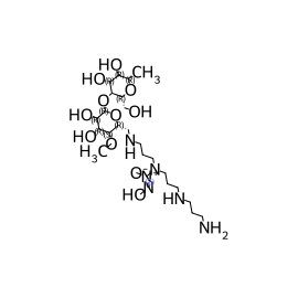 CO[C@H]1[C@H](O)[C@@H](O)[C@@H](OC2[C@@H](CO)O[C@H](C)[C@H](O)[C@H]2O)O[C@@H]1CNCCCN(CCCNCCCN)/[N+]([O-])=N/O